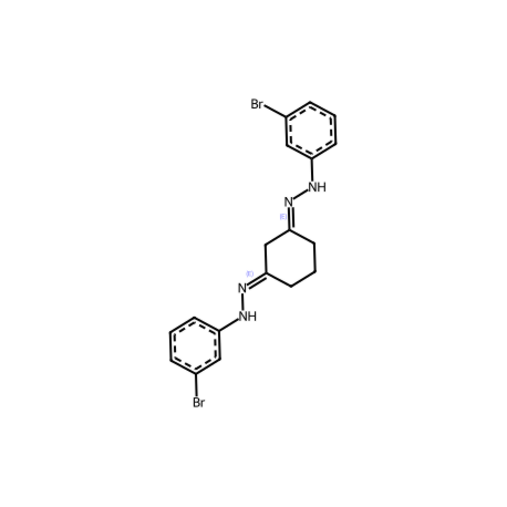 Brc1cccc(N/N=C2\CCC/C(=N\Nc3cccc(Br)c3)C2)c1